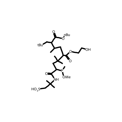 CCCCOC(=O)C(CC(C)(C)C)C(C)CC(C(=O)OCCO)C(C)(C)CC(C(=O)NC(C)(C)CS(=O)(=O)O)P(C)OC